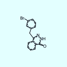 O=c1[nH]nc(Cc2cccc(Br)c2)c2ccccc12